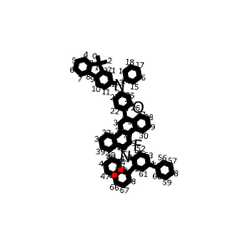 CC1(C)c2ccccc2-c2ccc(N(c3ccccc3)c3ccc4c(c3)Oc3cccc5c3c-4cc3c4ccccc4c(N(c4ccccc4)c4c(F)cc(-c6ccccc6)cc4-c4ccccc4)cc53)cc21